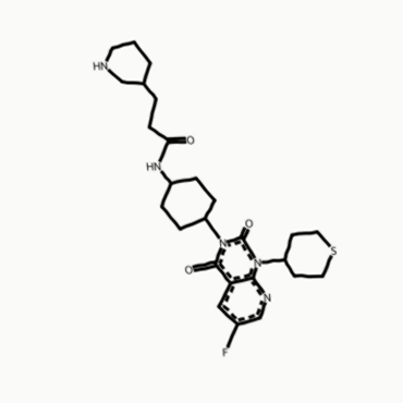 O=C(CCC1CCCNC1)NC1CCC(n2c(=O)c3cc(F)cnc3n(C3CCSCC3)c2=O)CC1